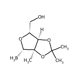 B[C@@H]1O[C@H](CO)[C@H]2OC(C)(C)O[C@@]12C